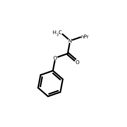 CCCN(C)C(=O)Oc1ccccc1